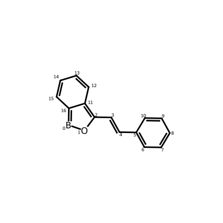 b1oc(C=Cc2ccccc2)c2ccccc12